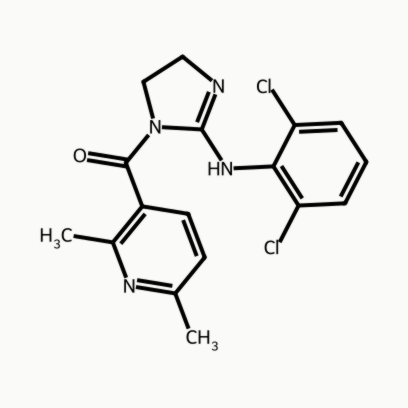 Cc1ccc(C(=O)N2CCN=C2Nc2c(Cl)cccc2Cl)c(C)n1